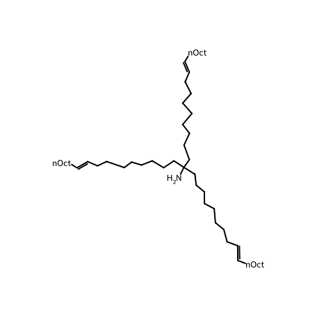 CCCCCCCCC=CCCCCCCCCC(N)(CCCCCCCCC=CCCCCCCCC)CCCCCCCCC=CCCCCCCCC